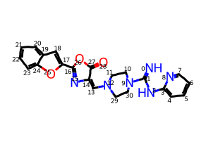 N=C(Nc1ccccn1)N1CCN(/C=C2/N=C(c3cc4ccccc4o3)OC2=O)CC1